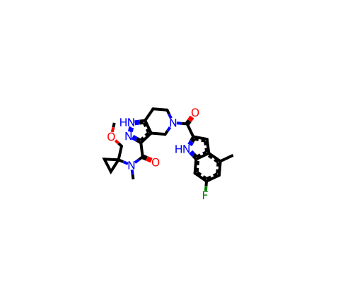 COCC1(N(C)C(=O)c2n[nH]c3c2CN(C(=O)c2cc4c(C)cc(F)cc4[nH]2)CC3)CC1